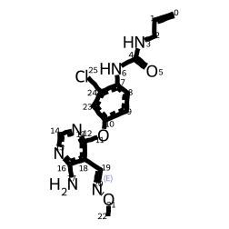 C=CCNC(=O)Nc1ccc(Oc2ncnc(N)c2/C=N/OC)cc1Cl